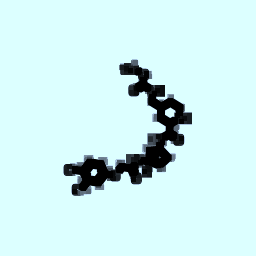 CC(C)(C)OC(=O)NCC1CCNC(C(=O)NC23CC(C2)[C@@H](NC(=O)COc2ccc(Cl)c(Cl)c2)C3)C1